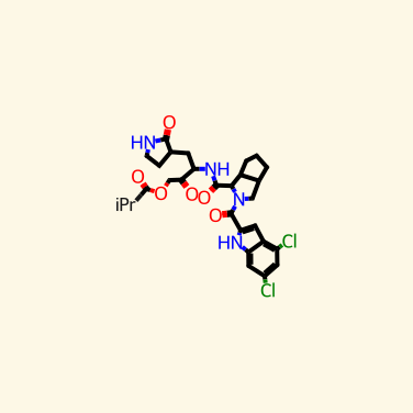 CC(C)C(=O)OCC(=O)C(CC1CCNC1=O)NC(=O)C1C2CCCC2CN1C(=O)c1cc2c(Cl)cc(Cl)cc2[nH]1